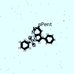 [CH2]CCCCc1cc2c(-c3ccccc3)cn(S(=O)(=O)c3ccccc3)c2nn1